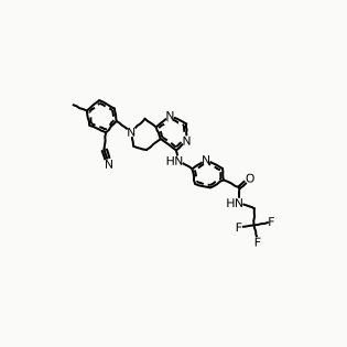 Cc1ccc(N2CCc3c(ncnc3Nc3ccc(C(=O)NCC(F)(F)F)cn3)C2)c(C#N)c1